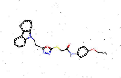 CCOc1ccc(NC(=O)CSc2nnc(CCn3c4ccccc4c4ccccc43)o2)cc1